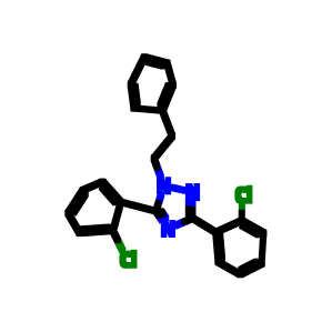 Clc1ccccc1-c1nc(-c2ccccc2Cl)n(CCc2ccccc2)n1